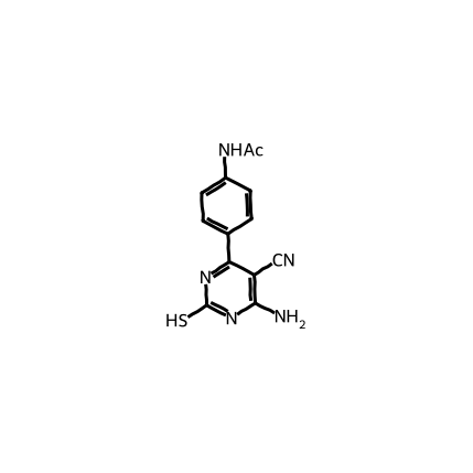 CC(=O)Nc1ccc(-c2nc(S)nc(N)c2C#N)cc1